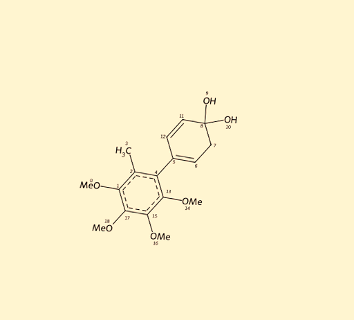 COc1c(C)c(C2=CCC(O)(O)C=C2)c(OC)c(OC)c1OC